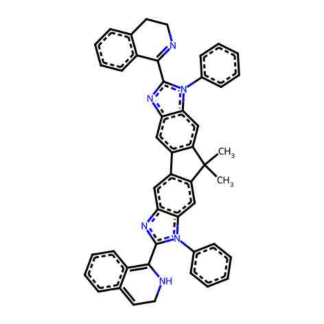 CC1(C)c2cc3c(cc2-c2cc4nc(C5=c6ccccc6=CCN5)n(-c5ccccc5)c4cc21)nc(C1=NCCc2ccccc21)n3-c1ccccc1